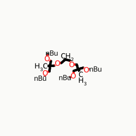 C=C(COCC(C)(COCCCC)COCCCC)COCC(C)(COCCCC)COCCCC